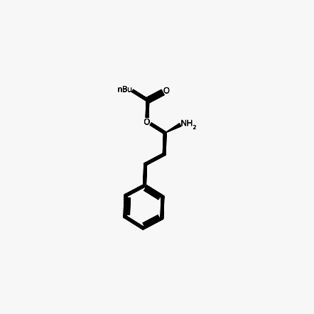 CCCCC(=O)O[C@@H](N)CCc1ccccc1